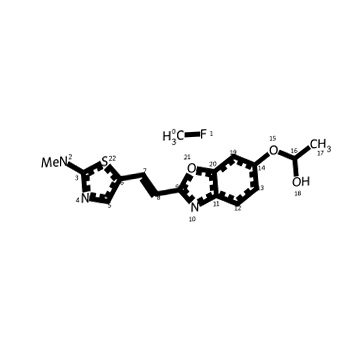 CF.CNc1ncc(C=Cc2nc3ccc(OC(C)O)cc3o2)s1